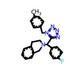 Cc1ccc(Cn2nnnc2C(c2ccc(F)cc2)N2CCc3ccccc3C2)cc1